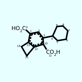 O=C(O)c1cc(C2CCCCC2)c(C(=O)O)c2c1CC2